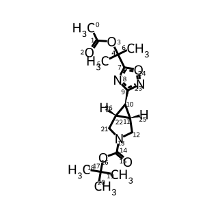 CC(=O)OC(C)(C)c1nc([C@H]2[C@@H]3CN(C(=O)OC(C)(C)C)C[C@@H]32)no1